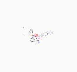 CCOc1ncccc1C1(NC(=O)N2CC(N3CCC(N4CCCC4)CC3)C2)C(=O)N(S(=O)(=O)c2ccc(OC)cc2OC)c2ccc(Cl)cc21